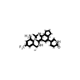 Cc1nc(N[C@H](C)c2cc(N)cc(C(F)(F)F)c2)c2cc(-c3ccc(=O)[nH]c3)c3c(c2n1)CCC3